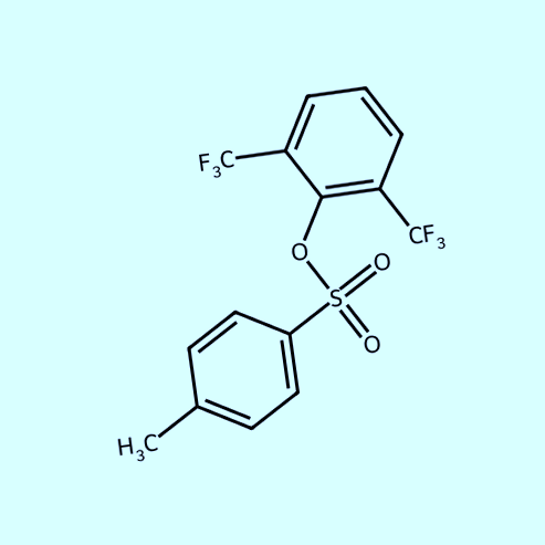 Cc1ccc(S(=O)(=O)Oc2c(C(F)(F)F)cccc2C(F)(F)F)cc1